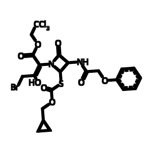 O=C(COc1ccccc1)NC1C(=O)N(C(C(=O)OCC(Cl)(Cl)Cl)=C(O)CBr)C1SC(=O)OCC1CC1